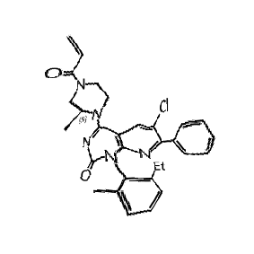 C=CC(=O)N1CCN(c2nc(=O)n(-c3c(C)cccc3CC)c3nc(-c4ccccc4)c(Cl)cc23)[C@@H](C)C1